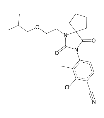 Cc1c(N2C(=O)N(CCOCC(C)C)C3(CCCC3)C2=O)ccc(C#N)c1Cl